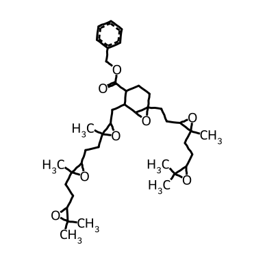 CC1(C)OC1CCC1(C)OC1CCC1(C)OC1CC1C(C(=O)OCc2ccccc2)CCC2(CCC3OC3(C)CCC3OC3(C)C)OC12